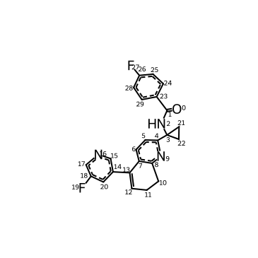 O=C(NC1(c2ccc3c(n2)CCC=C3c2cncc(F)c2)CC1)c1ccc(F)cc1